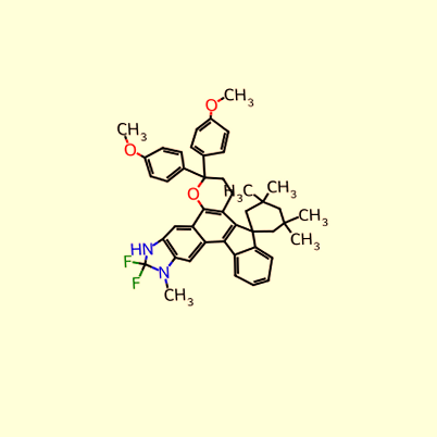 COc1ccc(C2(c3ccc(OC)cc3)CCc3c4c(c5cc6c(cc5c3O2)NC(F)(F)N6C)-c2ccccc2C42CC(C)(C)CC(C)(C)C2)cc1